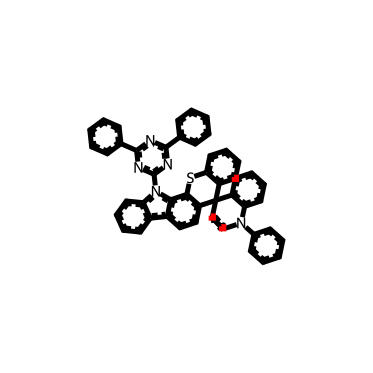 c1ccc(-c2nc(-c3ccccc3)nc(-n3c4ccccc4c4ccc5c(c43)Sc3ccccc3C53c4ccccc4N(c4ccccc4)c4ccccc43)n2)cc1